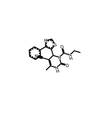 CCNC(=O)N1C(=O)NC(C)=C(C#N)C1c1scnc1-c1ccccc1